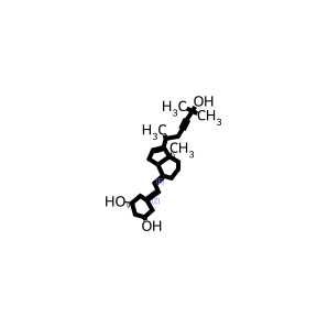 CC(CC#CC(C)(C)O)C1=CCC2/C(=C/C=C3/CC(O)C[C@H](O)C3)CCC[C@]12C